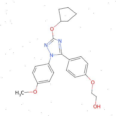 COc1ccc(-n2nc(OC3CCCC3)nc2-c2ccc(OCCO)cc2)cc1